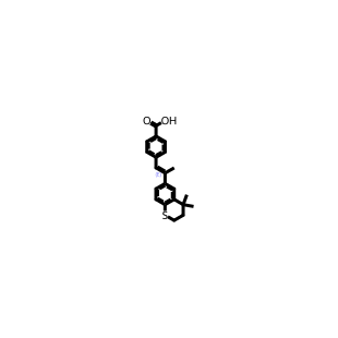 C/C(=C\c1ccc(C(=O)O)cc1)c1ccc2c(c1)C(C)(C)CCS2